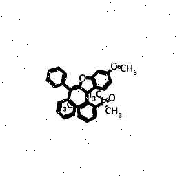 COc1ccc2c(c1)OC(=C(c1ccccc1)c1ccccc1)C2c1c(C)cccc1P(C)(C)=O